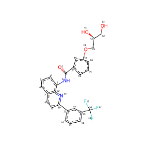 O=C(Nc1cccc2ccc(-c3cccc(C(F)(F)F)c3)nc12)c1cccc(OC[C@@H](O)CO)c1